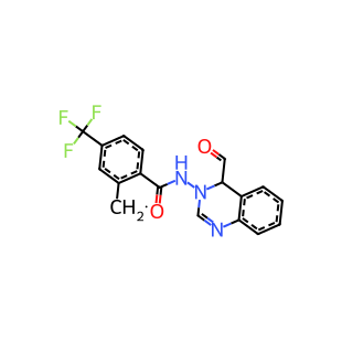 [CH2]c1cc(C(F)(F)F)ccc1C(=O)NN1C=Nc2ccccc2C1C=O